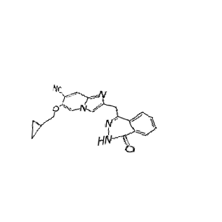 N#Cc1cc2nc(Cc3n[nH]c(=O)c4ccccc34)cn2cc1OCC1CC1